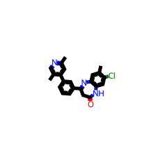 Cc1cc(-c2cccc(C3=Nc4cc(C)c(Cl)cc4NC(=O)C3)c2)c(C)cn1